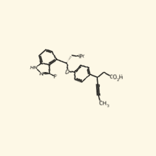 CC#CC(CC(=O)O)c1ccc(O[C@@H](CC(C)C)c2cccc3[nH]nc(F)c23)cc1